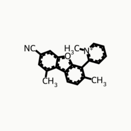 Cc1ccc2c(oc3cc(C#N)cc(C)c32)c1-c1cccc[n+]1C